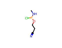 CNP(Cl)OCCC#N